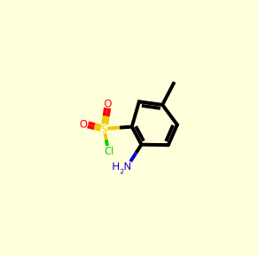 Cc1ccc(N)c(S(=O)(=O)Cl)c1